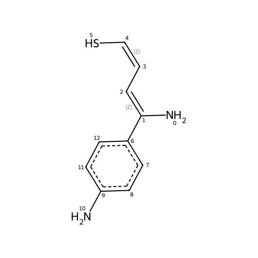 N/C(=C\C=C/S)c1ccc(N)cc1